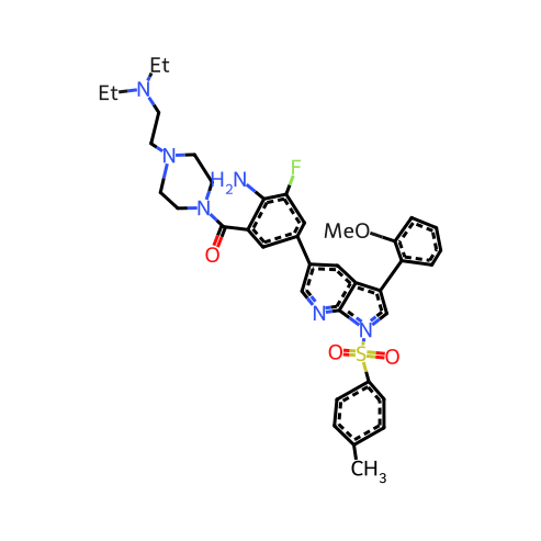 CCN(CC)CCN1CCN(C(=O)c2cc(-c3cnc4c(c3)c(-c3ccccc3OC)cn4S(=O)(=O)c3ccc(C)cc3)cc(F)c2N)CC1